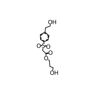 O=C(CS(=O)(=O)c1ccc(CCO)cc1)OCCCO